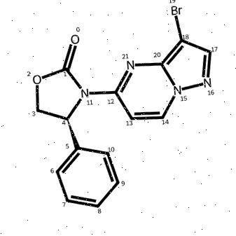 O=C1OC[C@H](c2ccccc2)N1c1ccn2ncc(Br)c2n1